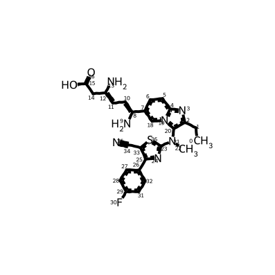 CCc1nc2ccc(/C(N)=C/C=C(\N)CC(=O)O)cn2c1N(C)c1nc(-c2ccc(F)cc2)c(C#N)s1